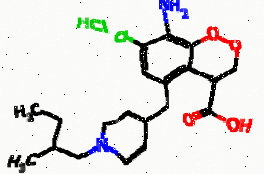 CCC(C)CN1CCC(Cc2cc(Cl)c(N)c3c2C(C(=O)O)COO3)CC1.Cl